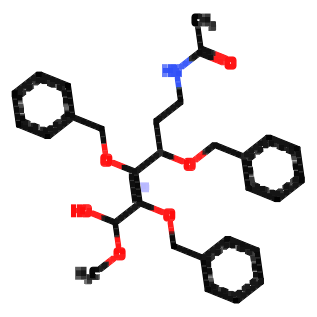 COC(O)/C(OCc1ccccc1)=C(\OCc1ccccc1)C(CCNC(C)=O)OCc1ccccc1